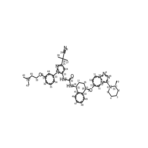 C[C@H]1CCCCN1c1nnc2ccc(O[C@@H]3CC[C@H](NC(=O)Nc4cc(C(C)(C)C#N)nn4-c4cccc(OCCN(C)C)c4)c4ccccc43)cn12